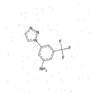 Nc1cc(-n2ccnn2)cc(C(F)(F)F)c1